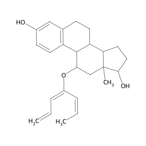 C=C/C=C(\C=C/C)OC1CC2(C)C(O)CCC2C2CCc3cc(O)ccc3C12